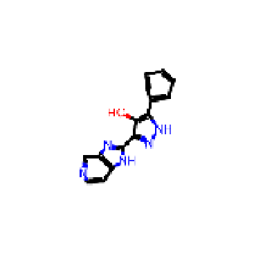 Oc1c(-c2nc3cnccc3[nH]2)n[nH]c1-c1ccccc1